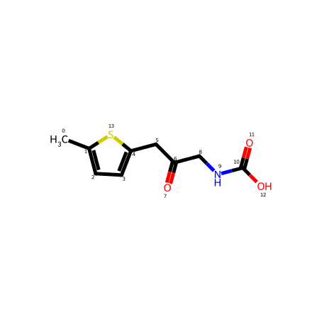 Cc1ccc(CC(=O)CNC(=O)O)s1